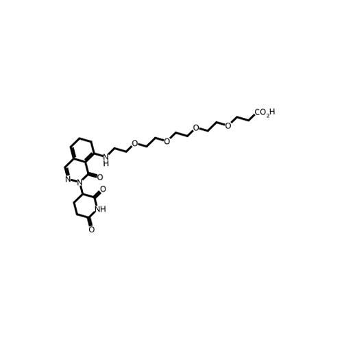 O=C(O)CCOCCOCCOCCOCCNC1=c2c(cnn(C3CCC(=O)NC3=O)c2=O)=CCC1